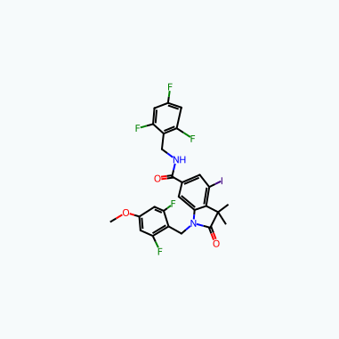 COc1cc(F)c(CN2C(=O)C(C)(C)c3c(I)cc(C(=O)NCc4c(F)cc(F)cc4F)cc32)c(F)c1